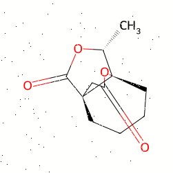 C[C@H]1OC(=O)[C@@]23CCCC[C@@]12OC(=O)C3